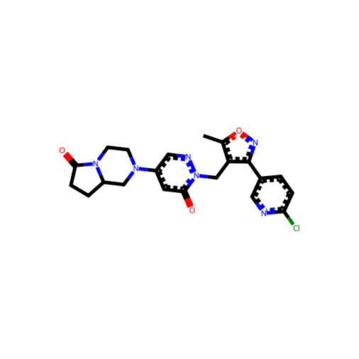 Cc1onc(-c2ccc(Cl)nc2)c1Cn1ncc(N2CCN3C(=O)CCC3C2)cc1=O